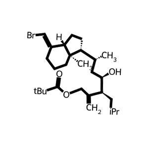 C=C(COC(=O)C(C)(C)C)[C@H](CC(C)C)[C@H](O)C[C@@H](C)[C@H]1CC[C@H]2/C(=C/Br)CCC[C@]12C